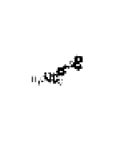 CC(C)CN1CC(=O)N(c2ccc(CCSc3ccnc4ccccc34)cc2)C1